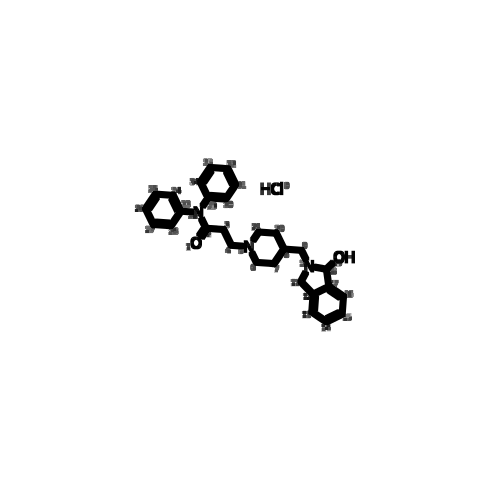 Cl.O=C(CCN1CCC(CN2Cc3ccccc3C2O)CC1)N(c1ccccc1)c1ccccc1